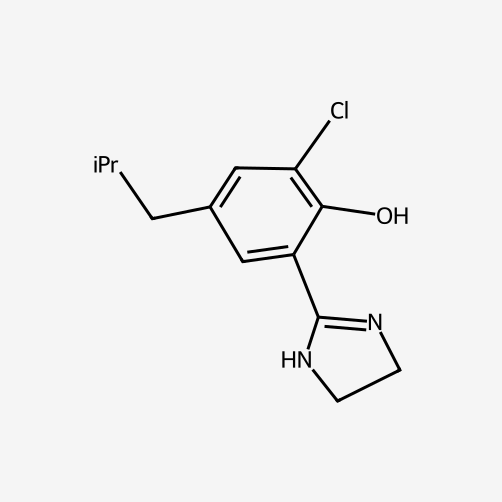 CC(C)Cc1cc(Cl)c(O)c(C2=NCCN2)c1